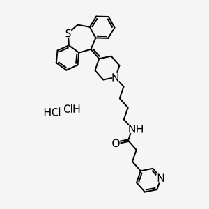 Cl.Cl.O=C(CCc1cccnc1)NCCCCN1CCC(=C2c3ccccc3CSc3ccccc32)CC1